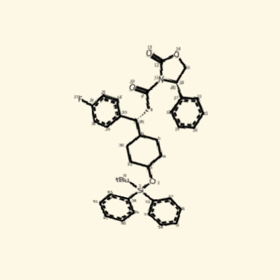 CC(C)(C)[Si](OC1CCC([C@@H](CC(=O)N2C(=O)OC[C@H]2c2ccccc2)c2ccc(F)cc2)CC1)(c1ccccc1)c1ccccc1